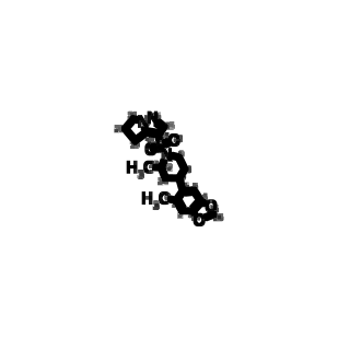 Cc1cc2c(cc1C1CCN(S(=O)(=O)c3cnn4c3CCC4)C(C)C1)OCO2